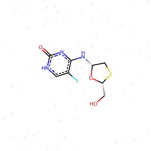 O=c1nc(N[C@@H]2CS[C@H](CO)O2)c(F)c[nH]1